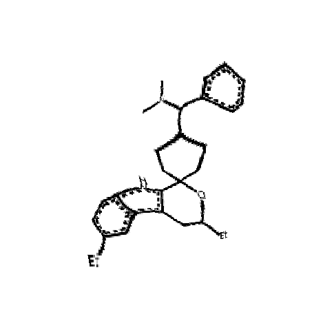 CCc1ccc2[nH]c3c(c2c1)CC(CC)OC31CCC(C(c2ccccc2)N(C)C)CC1